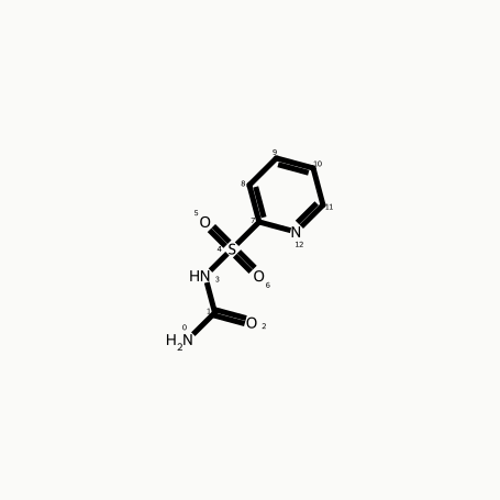 NC(=O)NS(=O)(=O)c1ccccn1